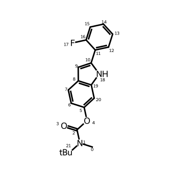 CN(C(=O)Oc1ccc2cc(-c3ccccc3F)[nH]c2c1)C(C)(C)C